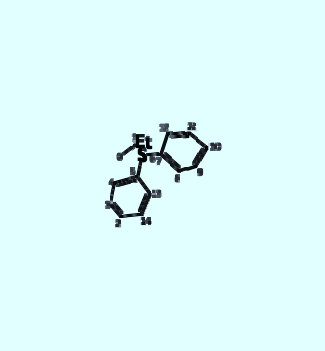 CCC.c1ccc(Sc2ccccc2)cc1